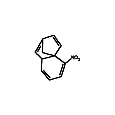 O=[N+]([O-])C1=CC=CC2C=C3C=CC12C3